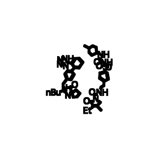 CCC1=C(C)CN(C(=O)NCCc2ccc(S(=O)(=O)NC(=O)NC3CCC(C)CC3)cc2)C1=O.CCCCC1=NC2(CCCC2)C(=O)N1Cc1ccc(-c2ccccc2-c2nnn[nH]2)cc1